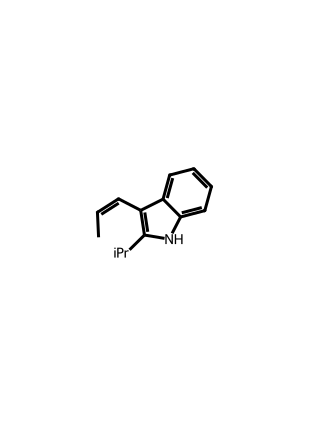 C/C=C\c1c(C(C)C)[nH]c2ccccc12